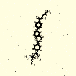 C=CCNC(=O)c1ccc(-c2ccc3c(c2)COC(C2CCN(C(=O)OC(C)(C)C)CC2)O3)cc1